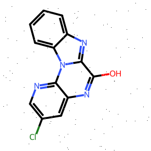 Oc1nc2cc(Cl)cnc2n2c1nc1ccccc12